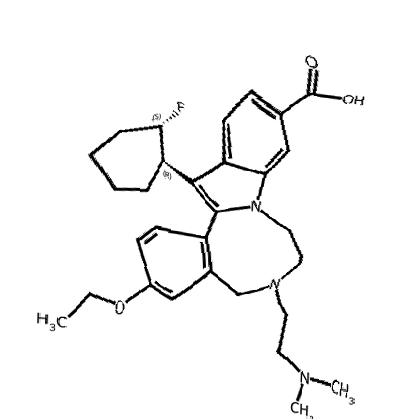 CCOc1ccc2c(c1)CN(CCN(C)C)CCn1c-2c([C@H]2CCCC[C@@H]2F)c2ccc(C(=O)O)cc21